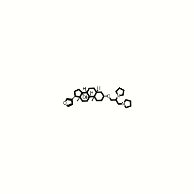 C[C@]12CC[C@H](OCC(CN3CCCC3)N3CCCC3)C[C@H]1CC[C@@H]1[C@@H]2CC[C@]2(C)[C@@H](c3ccoc3)CC[C@]12O